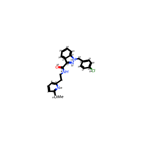 COc1cccc(CCNC(=O)c2nn(Cc3ccc(Cl)cc3)c3ccccc23)n1